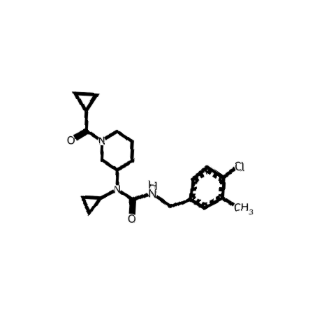 Cc1cc(CNC(=O)N(C2CC2)C2CCCN(C(=O)C3CC3)C2)ccc1Cl